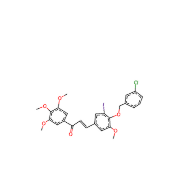 COc1cc(/C=C/C(=O)c2cc(OC)c(OC)c(OC)c2)cc(I)c1OCc1cccc(Cl)c1